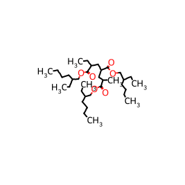 CCCCC(CC)COC(=O)C(C)CC(CC(CC)C(=O)OCC(CC)CCCC)C(=O)OCC(CC)CCCC